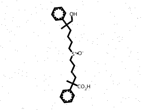 CC(CO)(CCCC[S+]([O-])CCCCC(C)(C(=O)O)c1ccccc1)c1ccccc1